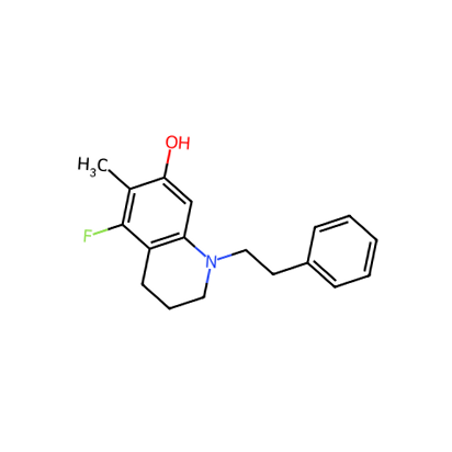 Cc1c(O)cc2c(c1F)CCCN2CCc1ccccc1